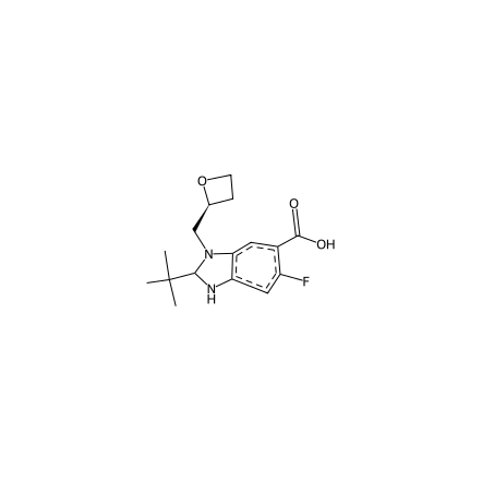 CC(C)(C)C1Nc2cc(F)c(C(=O)O)cc2N1C[C@@H]1CCO1